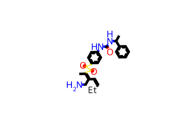 CC/C=C\C(CN)=C(\C)S(=O)(=O)c1ccc(NC(=O)NC(C)c2ccccc2)cc1